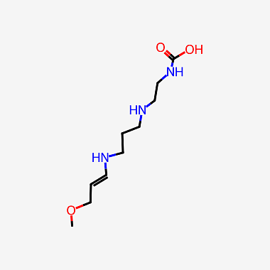 COCC=CNCCCNCCNC(=O)O